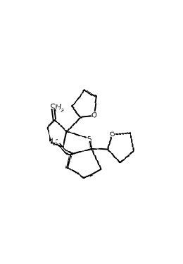 C=C1CCCC1(SC1(C2CCCO2)CCCC1=C)C1CCCO1